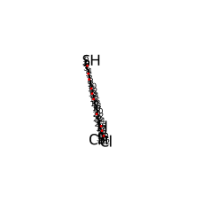 SCCCCCCCCCCCCCCCCCCCCCCCCCCCCCC[SiH](Cl)Cl